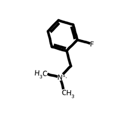 C[N+](C)Cc1ccccc1F